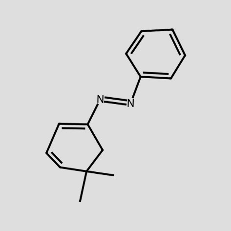 CC1(C)C=CC=C(N=Nc2ccccc2)C1